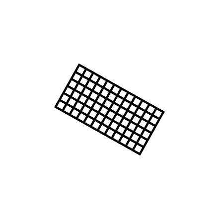 C1C2C3C4C5C6CC7C8C9C%10C%11C%12C%13C%14C%15C%16C%17CC%18C%19C%20C%21C%22CC%23C%24C%25C%26C%27C%28C%29C%30C%31C%32C1C21C32C43C54C67C85C96C%107C%118C%129C%13%10C%14%11C%15%12C%16%13C%18%17C%19%14C%20%15C%21%16C%22%23C%24%17C%25%18C%26%19C%27%20C%28%21C%29%22C%30%23C%31%24C%321C21C32C45C63C74C85C96C%107C%118C%129C%14%13C%15%10C%16%17C%18%11C%19%12C%20%13C%21%14C%22%15C%23%16C%241C23C%164C%155C%146C%137C%128C%10%119